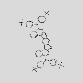 CC(C)(C)c1ccc(N(c2ccc(C(C)(C)C)cc2)c2cc3oc4cc5oc6cc(N(c7ccc(C(C)(C)C)cc7)c7ccc(C(C)(C)C)cc7)c7ccccc7c6c5cc4c3c3ccccc23)cc1